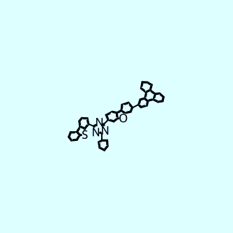 c1ccc(-c2nc(-c3ccc4c(c3)oc3cc(-c5ccc6c7ccccc7c7ccccc7c6c5)ccc34)nc(-c3cccc4c3sc3ccccc34)n2)cc1